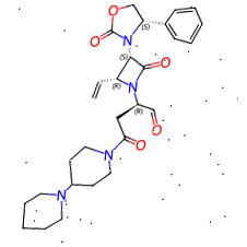 C=C[C@@H]1[C@H](N2C(=O)OC[C@@H]2c2ccccc2)C(=O)N1[C@@H](C=O)CC(=O)N1CCC(N2CCCCC2)CC1